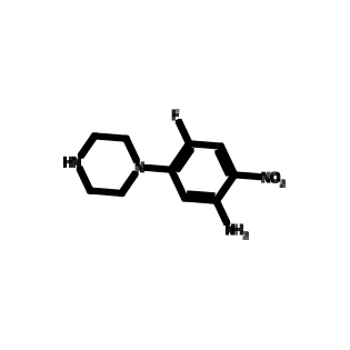 Nc1cc(N2CCNCC2)c(F)cc1[N+](=O)[O-]